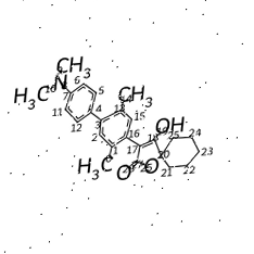 Cc1cc(-c2ccc(N(C)C)cc2)c(C)cc1C1=C(O)C2(CCCCC2)OC1=O